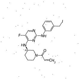 C=CC(=O)N1CCC[C@@H](Nc2nc(Nc3cccc(CI)c3)ncc2F)C1